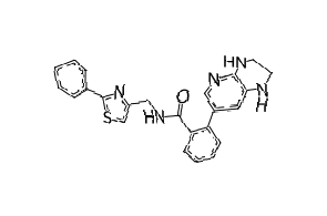 O=C(NCc1csc(-c2ccccc2)n1)c1ccccc1-c1cnc2c(c1)NCCN2